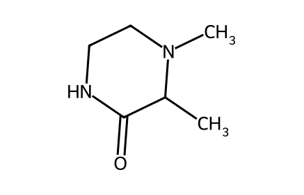 CC1C(=O)NCCN1C